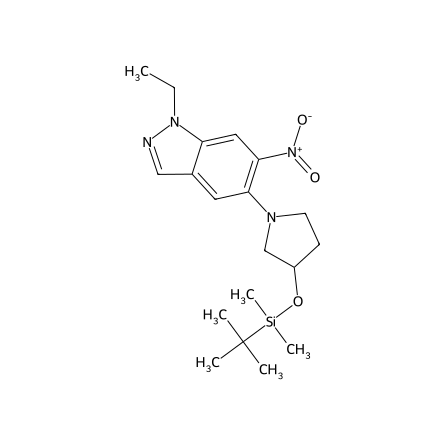 CCn1ncc2cc(N3CCC(O[Si](C)(C)C(C)(C)C)C3)c([N+](=O)[O-])cc21